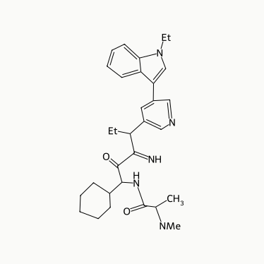 CCC(C(=N)C(=O)C(NC(=O)C(C)NC)C1CCCCC1)c1cncc(-c2cn(CC)c3ccccc23)c1